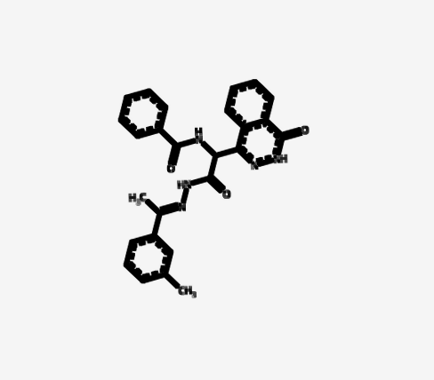 C/C(=N\NC(=O)C(NC(=O)c1ccccc1)c1n[nH]c(=O)c2ccccc12)c1cccc(C)c1